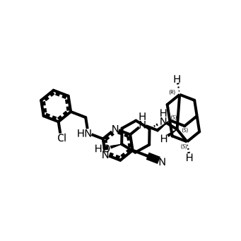 N#Cc1cnc(NCc2ccccc2Cl)nc1NC[C@]12CC3C[C@H](C1)[C@@H](N[C@H]1CC[C@H](O)CC1)[C@@H](C3)C2